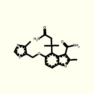 Cc1ncsc1COc1ccc2oc(C)c(C(N)=O)c2c1C(C)(C)CC(N)=O